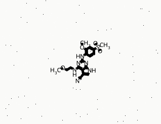 COCCNc1nc(Nc2ccc(S(C)(=O)=O)cc2OC)nc2[nH]cc(C#N)c12